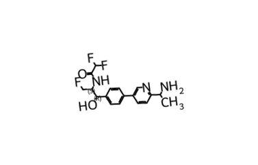 CC(N)c1ccc(-c2ccc([C@@H](O)[C@@H](CF)NC(=O)C(F)F)cc2)cn1